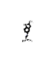 CCN(C)/C=N/c1ccc2c(c1)CC(C)N2